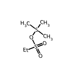 CCS(=O)(=O)OS(C)(C)C